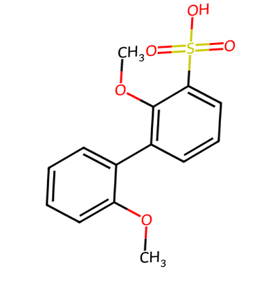 COc1ccccc1-c1cccc(S(=O)(=O)O)c1OC